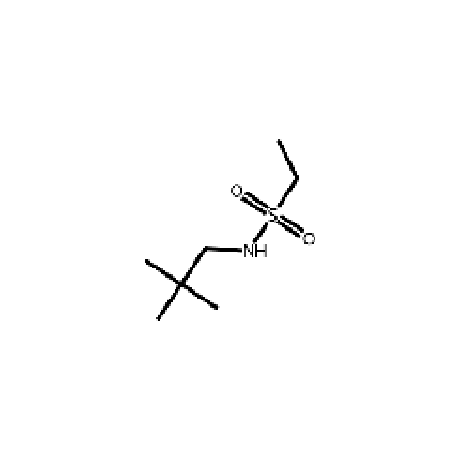 CCS(=O)(=O)NCC(C)(C)C